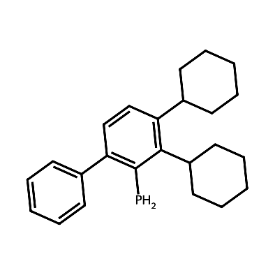 Pc1c(-c2ccccc2)ccc(C2CCCCC2)c1C1CCCCC1